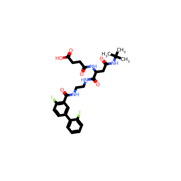 CC(C)(C)NC(=O)CC(NC(=O)CCC(=O)O)C(=O)NCCNC(=O)c1cc(-c2ccccc2F)ccc1F